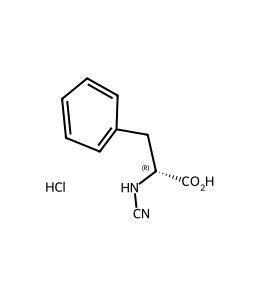 Cl.N#CN[C@H](Cc1ccccc1)C(=O)O